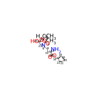 CC(C)(C)OC(=O)N(CCCC(N)C(=O)OCc1ccccc1)CC(=O)O